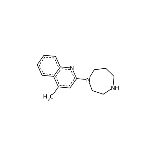 Cc1cc(N2CCCNCC2)nc2ccccc12